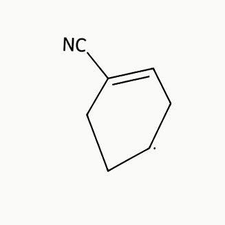 N#CC1=CC[CH]CC1